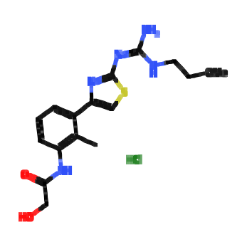 COCCNC(N)=Nc1nc(-c2cccc(NC(=O)CO)c2C)cs1.Cl